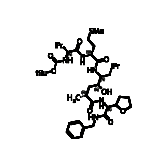 CSCC[C@H](NC(=O)[C@@H](NC(=O)OC(C)(C)C)C(C)C)C(=O)N[C@@H](CC(C)C)[C@@H](O)C[C@@H](C)C(=O)N[C@H](C(=O)NCc1ccccc1)C1CCCO1